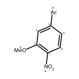 COc1cc(C(C)=O)ccc1[N+](=O)[O-]